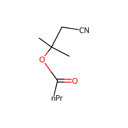 [CH2]CCC(=O)OC(C)(C)CC#N